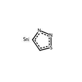 [Sn].c1csnn1